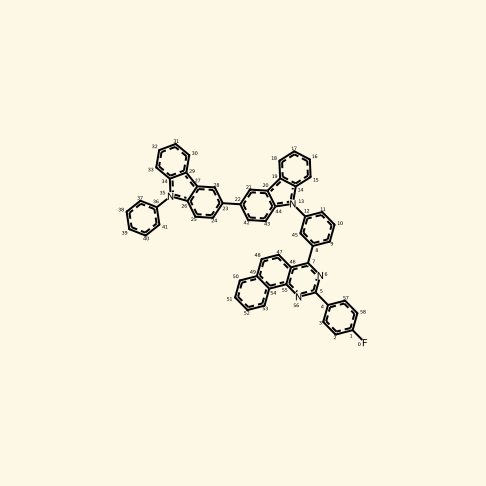 Fc1ccc(-c2nc(-c3cccc(-n4c5ccccc5c5cc(-c6ccc7c(c6)c6ccccc6n7-c6ccccc6)ccc54)c3)c3ccc4ccccc4c3n2)cc1